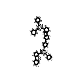 c1ccc(-c2nc(-c3ccc(-c4ccc5c(c4)sc4c(-c6nc(-c7ccccc7)nc(-c7ccccc7)n6)cccc45)cc3)nc(-c3cccc4c3oc3ccccc34)n2)cc1